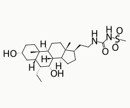 CC[C@H]1[C@@H](O)[C@@H]2[C@H](CC[C@]3(C)[C@@H](CCNC(=O)NS(C)(=O)=O)CC[C@@H]23)[C@@]2(C)CC[C@@H](O)C[C@@H]12